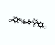 O=C1N(c2ccc(Cl)cc2)CCN1C12CC(NCCOc3ccc(Cl)cc3)(C1)C2